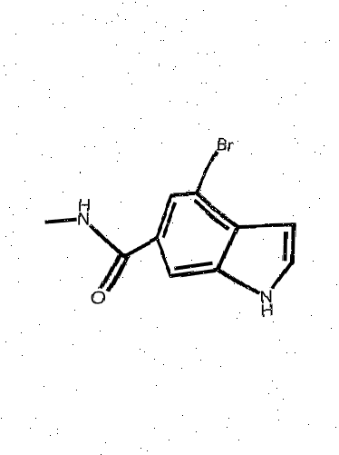 CNC(=O)c1cc(Br)c2cc[nH]c2c1